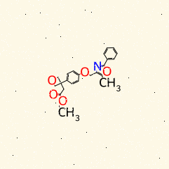 CCOC(=O)CC1(c2ccc(OCc3nc(-c4ccccc4)oc3C)cc2)COC1